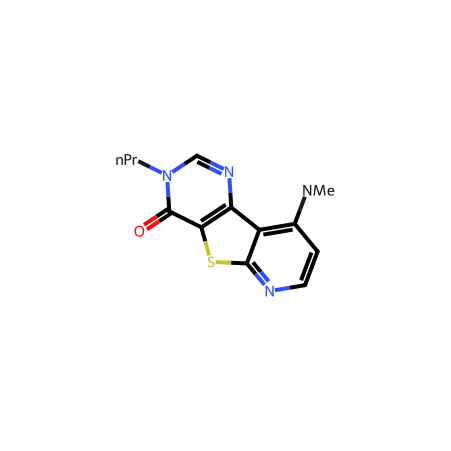 CCCn1cnc2c(sc3nccc(NC)c32)c1=O